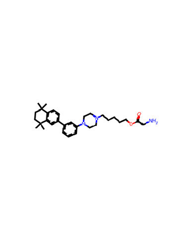 CC1(C)CCC(C)(C)c2cc(-c3cccc(N4CCN(CCCCCOC(=O)CN)CC4)c3)ccc21